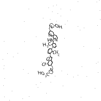 Cc1c(Nc2nccc3cc(CN4CC[C@@H](O)C4)cnc23)cccc1-c1cccc(-c2cc3cc(CN4CC[C@@H](C(=O)O)C4)cc(Cl)c3o2)c1C